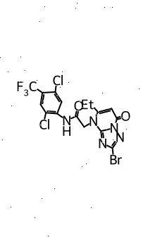 CCc1cc(=O)n2nc(Br)nc2n1CC(=O)Nc1cc(Cl)c(C(F)(F)F)cc1Cl